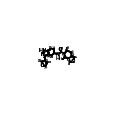 Cc1cc2cncn2c(C)c1C(=O)Nc1ccc2[nH]nc(-c3ccoc3)c2c1